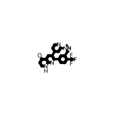 CNc1cc(-c2cc3c(=O)cc[nH]c3nc2-c2ccc(C(F)(F)F)c(C#N)c2)ccn1